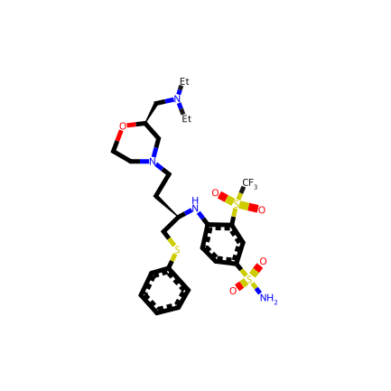 CCN(CC)C[C@H]1CN(CC[C@H](CSc2ccccc2)Nc2ccc(S(N)(=O)=O)cc2S(=O)(=O)C(F)(F)F)CCO1